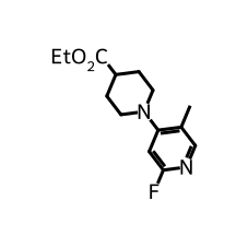 CCOC(=O)C1CCN(c2cc(F)ncc2C)CC1